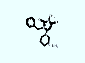 Cn1c(=O)cc(N2CCC[C@@H](N)C2)n(Cc2ccccc2)c1=O